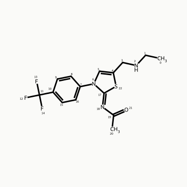 CCNCc1cn(-c2ccc(C(F)(F)F)cc2)/c(=N/C(C)=O)s1